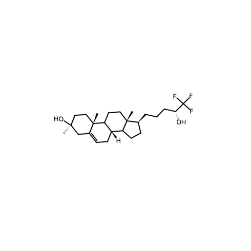 C[C@]1(O)CC[C@@]2(C)C(=CC[C@@H]3C2CC[C@@]2(C)C3CC[C@@H]2CCC[C@@H](O)C(F)(F)F)C1